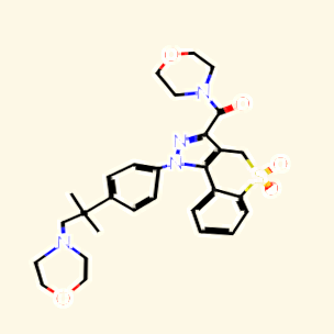 CC(C)(CN1CCOCC1)c1ccc(-n2nc(C(=O)N3CCOCC3)c3c2-c2ccccc2S(=O)(=O)C3)cc1